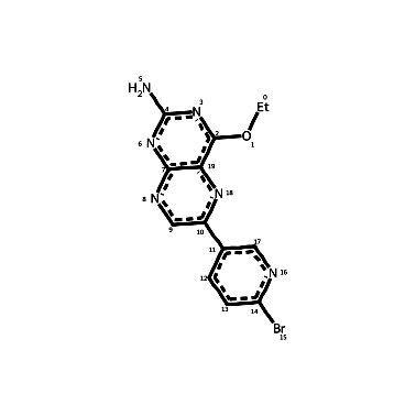 CCOc1nc(N)nc2ncc(-c3ccc(Br)nc3)nc12